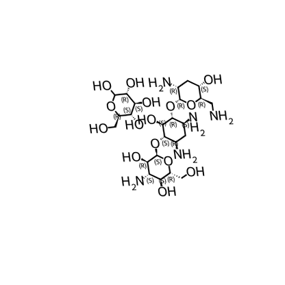 NC[C@H]1O[C@H](O[C@H]2[C@H](O)[C@@H](O[C@H]3O[C@H](CO)[C@@H](O)[C@H](N)[C@H]3O)[C@H](N)C[C@@H]2N)[C@H](N)C[C@@H]1O.OC[C@H]1OC(O)[C@H](O)[C@@H](O)[C@@H]1O